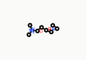 c1ccc(-c2nc(-c3ccccc3)nc(-c3ccc4oc5c(-c6ccc7c(c6)oc6c(-n8c9ccccc9c9ccccc98)cccc67)cccc5c4c3)n2)cc1